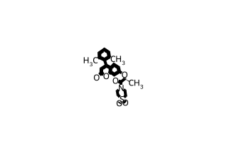 Cc1cccc(C)c1-c1cc(=O)oc2cc(O[C@H](C)C(=O)N3CCS(=O)(=O)CC3)ccc12